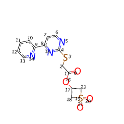 O=C(CSc1nccc(-c2ccccn2)n1)OC1CS(=O)(=O)C1